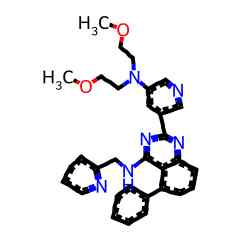 COCCN(CCOC)c1cncc(-c2nc(NCc3ccccn3)c3c(-c4ccccc4)cccc3n2)c1